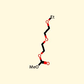 [CH2]OC(=O)OCCOCCOCC